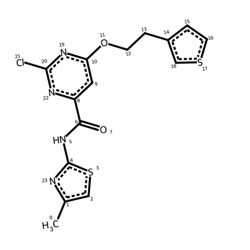 Cc1csc(NC(=O)c2cc(OCCc3ccsc3)nc(Cl)n2)n1